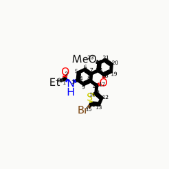 CCC(=O)Nc1ccc2c(c1)C(c1ccc(Br)s1)Oc1cccc(OC)c1-2